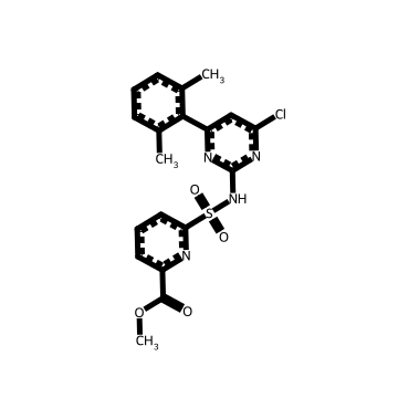 COC(=O)c1cccc(S(=O)(=O)Nc2nc(Cl)cc(-c3c(C)cccc3C)n2)n1